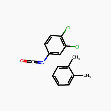 Cc1ccccc1C.O=C=Nc1ccc(Cl)c(Cl)c1